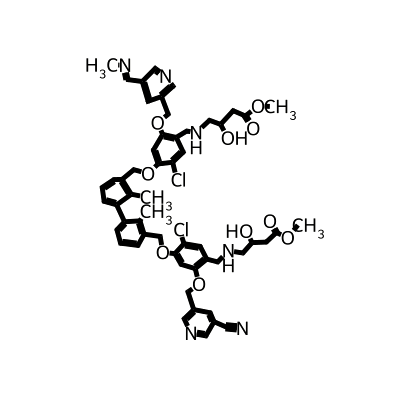 C/N=C/c1cncc(COc2cc(OCc3cccc(-c4cccc(COc5cc(OCc6cncc(C#N)c6)c(CNCC(O)CC(=O)OC)cc5Cl)c4C)c3C)c(Cl)cc2CNCC(O)CC(=O)OC)c1